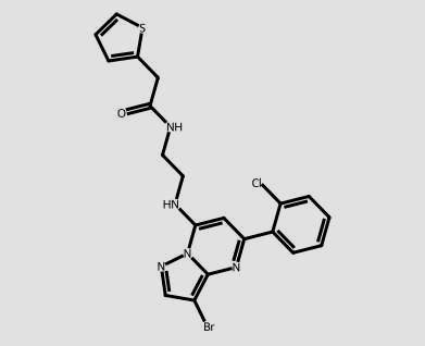 O=C(Cc1cccs1)NCCNc1cc(-c2ccccc2Cl)nc2c(Br)cnn12